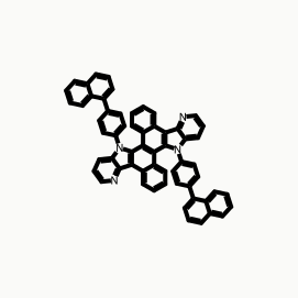 c1ccc2c(-c3ccc(-n4c5cccnc5c5c6ccccc6c6c(c7ccccc7c7c8ncccc8n(-c8ccc(-c9cccc%10ccccc9%10)cc8)c76)c54)cc3)cccc2c1